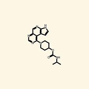 CC(C)NC(=O)OC1CCN(c2ncnc3cnc4[nH]ccc4c23)CC1